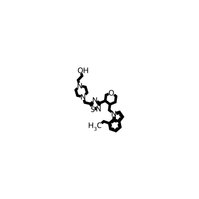 CCc1cccc2ccn(CC3CCOCC3c3nsc(CN4CCN(CCO)CC4)n3)c12